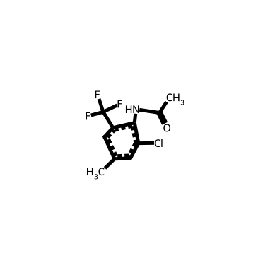 CC(=O)Nc1c(Cl)cc(C)cc1C(F)(F)F